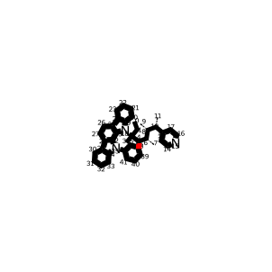 CCC(C)(C(C)[C@@H](C)[C@H](C)[C@H](C)c1ccncc1)n1c2ccccc2c2ccc3c4ccccc4n(-c4ccccc4)c3c21